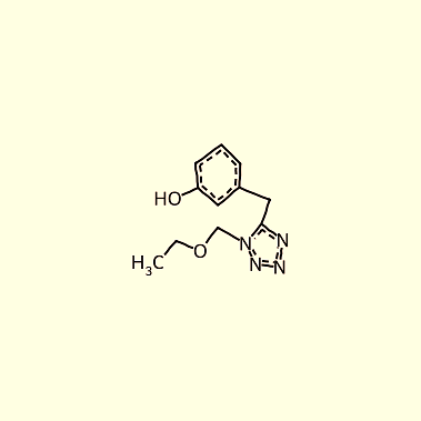 CCOCn1nnnc1Cc1cccc(O)c1